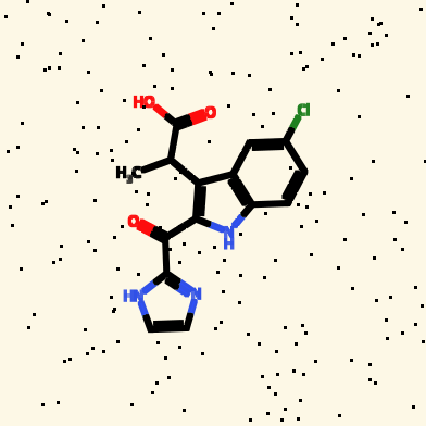 CC(C(=O)O)c1c(C(=O)c2ncc[nH]2)[nH]c2ccc(Cl)cc12